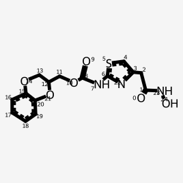 O=C(Cc1csc(NC(=O)OCC2COc3ccccc3O2)n1)NO